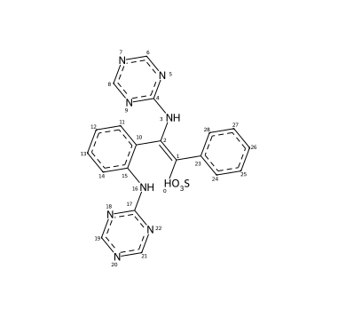 O=S(=O)(O)C(=C(Nc1ncncn1)c1ccccc1Nc1ncncn1)c1ccccc1